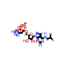 COC[C@@](Cc1nn[nH]n1)(OC[C@H]1O[C@@H](n2ncc3c(NCC(C)C)nc(Cl)nc32)[C@H](O)[C@@H]1O)P(=O)(O)O